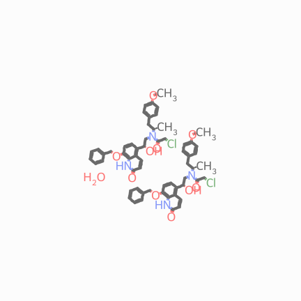 COc1ccc(C[C@@H](C)N(C[C@@H](O)c2ccc(OCc3ccccc3)c3[nH]c(=O)ccc23)C(=O)CCl)cc1.COc1ccc(C[C@@H](C)N(C[C@@H](O)c2ccc(OCc3ccccc3)c3[nH]c(=O)ccc23)C(=O)CCl)cc1.O